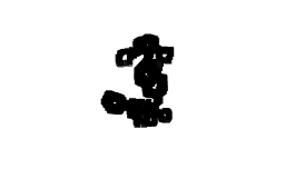 CC(C)(C(=O)N[C@@H](Cc1ccc2nc(-c3c(Cl)cccc3Cl)ccc2c1)C(=O)O)c1ccccc1